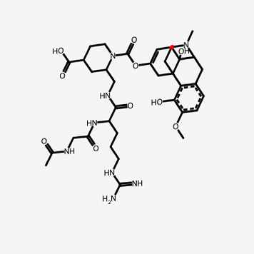 COc1ccc2c(c1O)C13CCN(C)C(C2)C1(O)CC=C(OC(=O)N1CCC(C(=O)O)CC1CNC(=O)C(CCCNC(=N)N)NC(=O)CNC(C)=O)C3